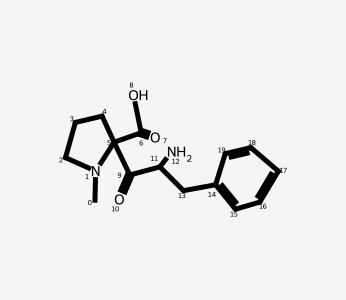 CN1CCCC1(C(=O)O)C(=O)C(N)Cc1ccccc1